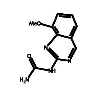 COc1cccc2cnc(NC(N)=O)nc12